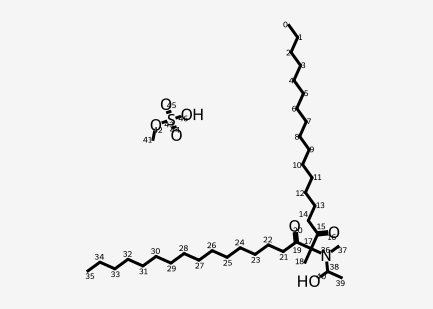 CCCCCCCCCCCCCCCC(=O)C(C)(C(=O)CCCCCCCCCCCCCCC)N(C)C(C)O.COS(=O)(=O)O